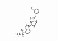 Cc1cc2c(S(N)(=O)=O)cccc2n1-c1ncnc(NCc2cccc(F)c2)n1